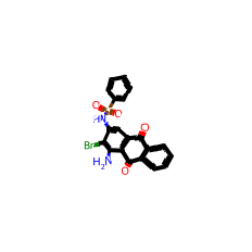 Nc1c(Br)c(NS(=O)(=O)c2ccccc2)cc2c1C(=O)c1ccccc1C2=O